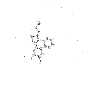 Cn1cc(-c2cnn(CCO)c2)c(-c2ccccc2)cc1=O